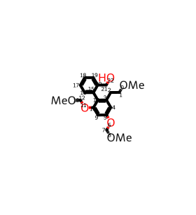 COCCc1cc(OCOC)cc(OCOC)c1-c1ccccc1CO